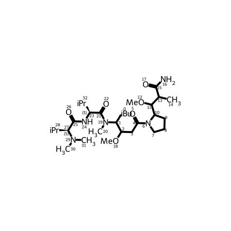 CCC(C)C(C(CC(=O)N1CCCC1C(OC)C(C)C(N)=O)OC)N(C)C(=O)[C@@H](NC(=O)[C@H](C(C)C)N(C)C)C(C)C